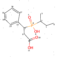 CCC(C)P(=O)(O)C(CC(=O)O)c1ccccc1